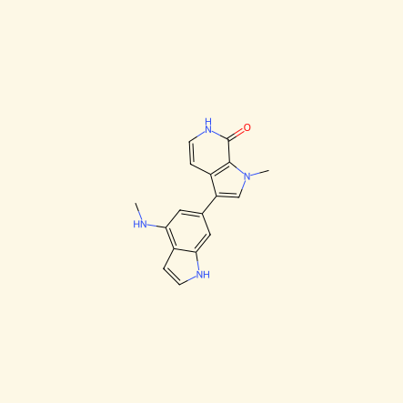 CNc1cc(-c2cn(C)c3c(=O)[nH]ccc23)cc2[nH]ccc12